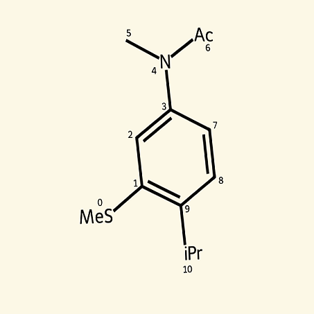 CSc1cc(N(C)C(C)=O)ccc1C(C)C